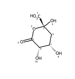 O=C1O[C@@](O)(C(=O)O)C[C@H](O)[C@@H]1O